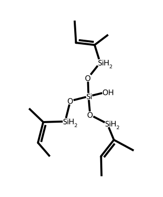 CC=C(C)[SiH2]O[Si](O)(O[SiH2]C(C)=CC)O[SiH2]C(C)=CC